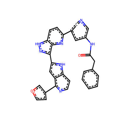 O=C(Cc1ccccc1)Nc1cncc(-c2ccc3[nH]nc(-c4cc5c(-c6ccoc6)nccc5[nH]4)c3n2)c1